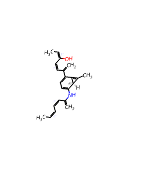 C=C(/C=C\C=C/C)NC1=CC=C(C(=C)/C=C\C(O)=C/C)C2=C(C)[C@@H]12